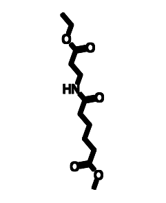 CCOC(=O)CCNC(=O)CCCCC(=O)OC